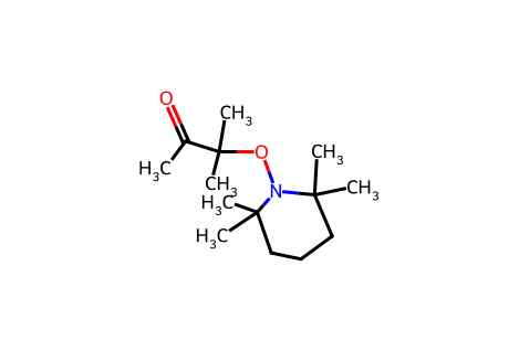 CC(=O)C(C)(C)ON1C(C)(C)CCCC1(C)C